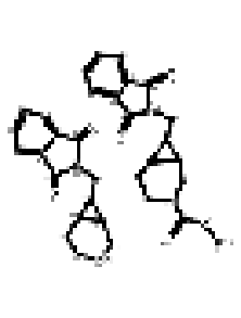 CC(C)(C)OC(=O)N1CCC2C(C1)C2CN1C(=O)c2ccccc2C1=O.O=C1c2ccccc2C(=O)N1CC1C2CCNCC21